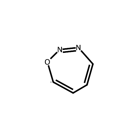 [C]1=CC=CN=NO1